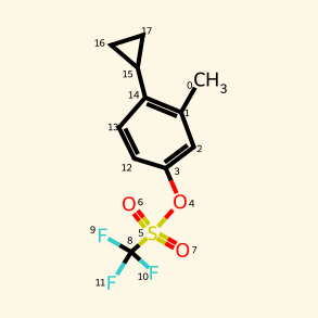 Cc1cc(OS(=O)(=O)C(F)(F)F)ccc1C1CC1